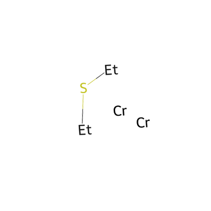 CCSCC.[Cr].[Cr]